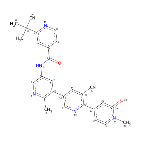 Cc1ncc(NC(=O)c2ccnc(C(C)(C)C#N)c2)cc1-c1cnc(-c2ccn(C)c(=O)c2)c(C#N)c1